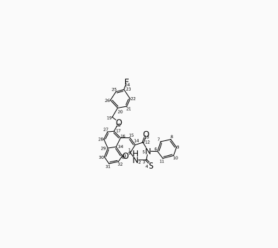 O=C1NC(=S)N(c2ccccc2)C(=O)C1=Cc1c(OCc2ccc(F)cc2)ccc2ccccc12